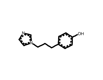 Oc1ccc(CCCn2ccnc2)cc1